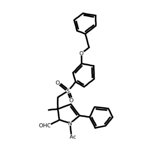 CC(=O)N1C(c2ccccc2)=CC(C)(CS(=O)(=O)c2cccc(OCc3ccccc3)c2)C1C=O